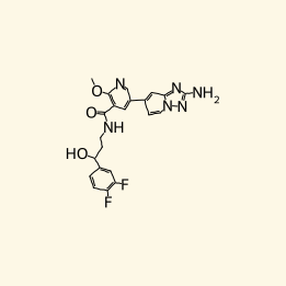 COc1ncc(-c2ccn3nc(N)nc3c2)cc1C(=O)NCCC(O)c1ccc(F)c(F)c1